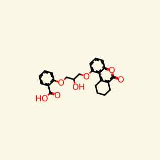 O=C(O)c1ccccc1OCC(O)COc1cccc2oc(=O)c3c(c12)CCCC3